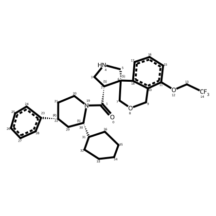 O=C([C@@H]1CNC[C@]12COCc1c(OCC(F)(F)F)cccc12)N1CC[C@@H](c2ccccc2)C[C@H]1C1CCCCC1